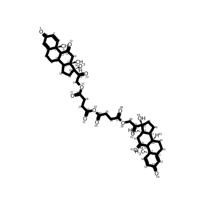 C[C@]12C=CC(=O)C=C1CCC1C2C(=O)C[C@@]2(C)C1CC[C@]2(O)C(=O)COC(=O)CCC(=O)OC(=O)CCC(=O)OCC(=O)[C@]1(O)CCC2[C@H]3CCC4=CC(=O)C=C[C@@]4(C)C3C(=O)C[C@]21C